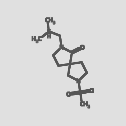 C[SH](C)CN1CCC2(CCN(S(C)(=O)=O)C2)C1=O